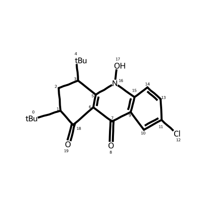 CC(C)(C)C1CC(C(C)(C)C)c2c(c(=O)c3cc(Cl)ccc3n2O)C1=O